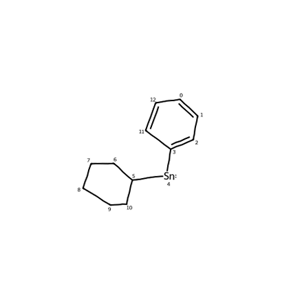 c1cc[c]([Sn][CH]2CCCCC2)cc1